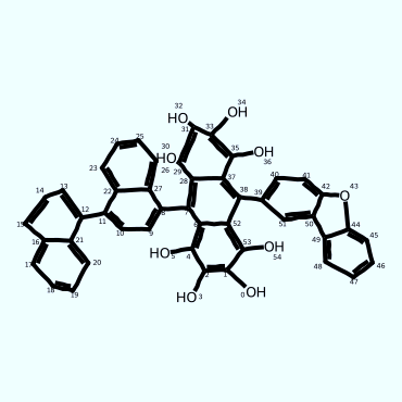 Oc1c(O)c(O)c2c(-c3ccc(-c4cccc5ccccc45)c4ccccc34)c3c(O)c(O)c(O)c(O)c3c(-c3ccc4oc5ccccc5c4c3)c2c1O